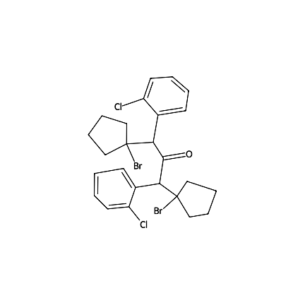 O=C(C(c1ccccc1Cl)C1(Br)CCCC1)C(c1ccccc1Cl)C1(Br)CCCC1